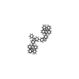 c1ccc(-n2c3ccc(-c4ccc5oc6ccc(N7c8ccccc8[Si](c8ccccc8)(c8ccccc8)c8ccccc87)cc6c5c4)cc3c3cc(N4c5ccccc5[Si](c5ccccc5)(c5ccccc5)c5ccccc54)ccc32)cc1